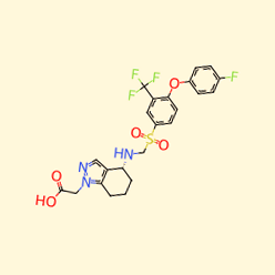 O=C(O)Cn1ncc2c1CCC[C@H]2NCS(=O)(=O)c1ccc(Oc2ccc(F)cc2)c(C(F)(F)F)c1